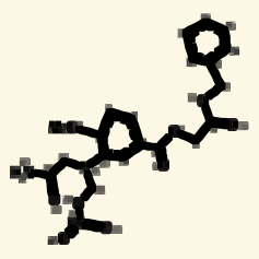 COc1ccc(C(=O)OCC(=O)OCc2ccccc2)cc1N(CO[SH](=O)=O)CC(N)=O